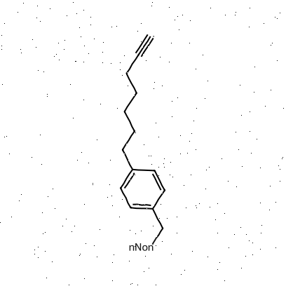 [C]#CCCCCCc1ccc(CCCCCCCCCC)cc1